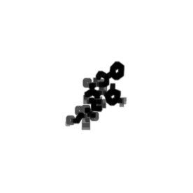 COCC(=O)NS(=O)(=O)c1cnn2c(Nc3ccc(F)cc3C)c(C(=O)N3CCC(c4ccccc4)CC3)cnc12